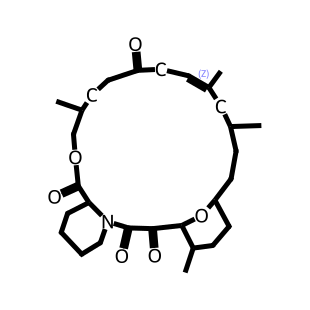 C/C1=C/CC(=O)CCC(C)COC(=O)C2CCCCN2C(=O)C(=O)C2OC(CCC(C)C1)CCC2C